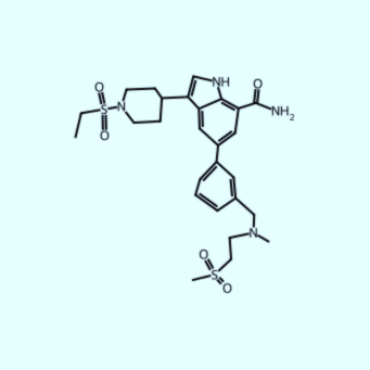 CCS(=O)(=O)N1CCC(c2c[nH]c3c(C(N)=O)cc(-c4cccc(CN(C)CCS(C)(=O)=O)c4)cc23)CC1